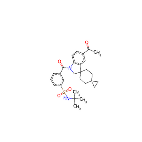 CC(=O)c1ccc2c(c1)C1(CCC3(CC3)CC1)CN2C(=O)c1cccc(S(=O)(=O)NC(C)(C)C)c1